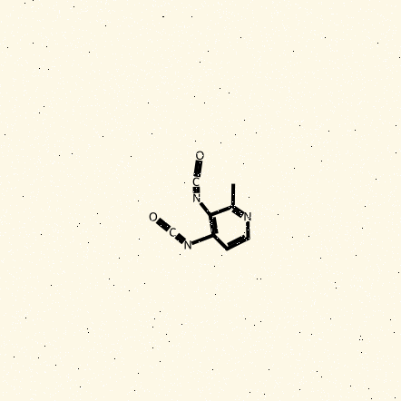 Cc1nccc(N=C=O)c1N=C=O